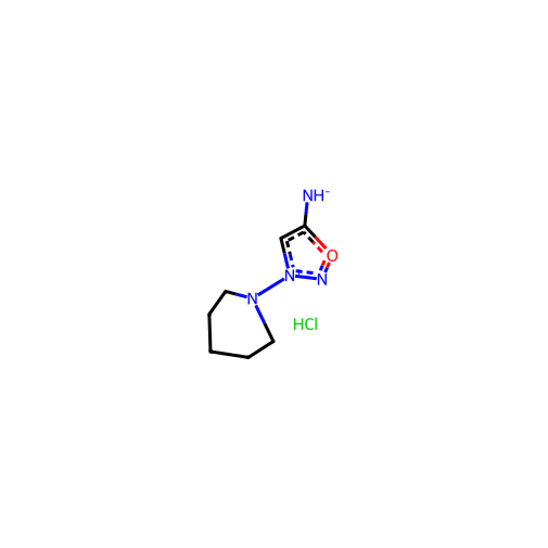 Cl.[NH-]c1c[n+](N2CCCCC2)no1